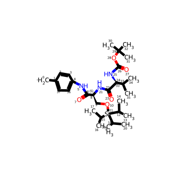 [CH2]c1ccc(NC(=O)[C@H](CO[Si](C(C)C)(C(C)C)C(C)C)NC(=O)[C@@H](NC(=O)OC(C)(C)C)C(C)C)cc1